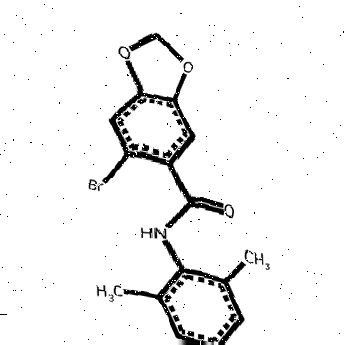 Cc1cccc(C)c1NC(=O)c1cc2c(cc1Br)OCO2